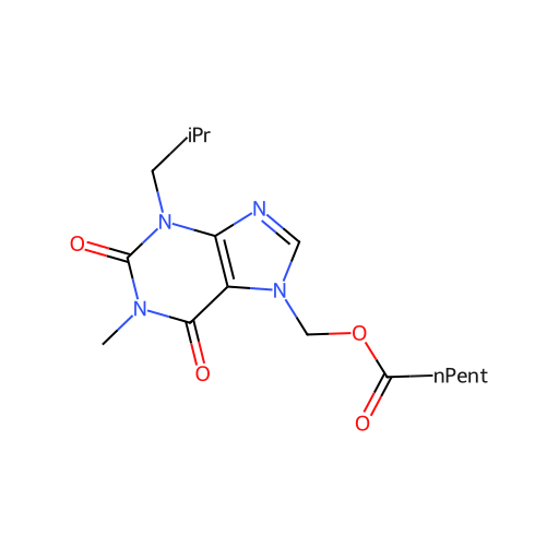 CCCCCC(=O)OCn1cnc2c1c(=O)n(C)c(=O)n2CC(C)C